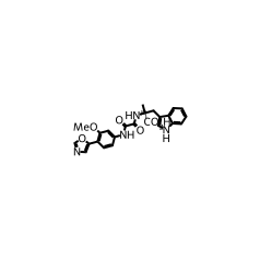 COc1cc(NC(=O)C(=O)N[C@@](C)(Cc2c[nH]c3ccccc23)C(=O)O)ccc1-c1cnco1